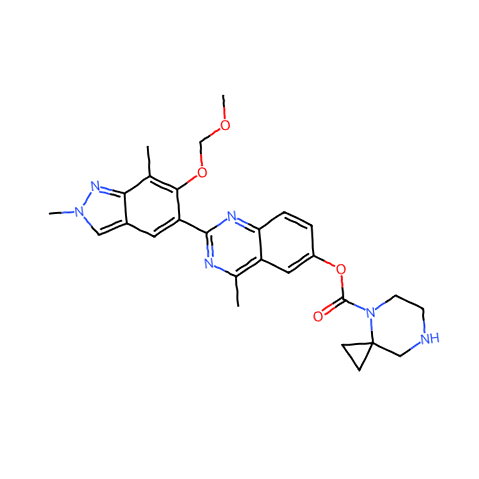 COCOc1c(-c2nc(C)c3cc(OC(=O)N4CCNCC45CC5)ccc3n2)cc2cn(C)nc2c1C